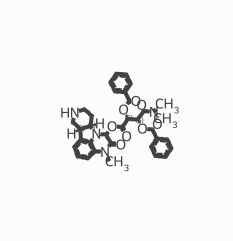 CN(C)C(=O)[C@@H](OC(=O)c1ccccc1)[C@H](OC(=O)c1ccccc1)C(=O)OC1C(=O)N(C)c2cccc3c2N1[C@H]1CCNC[C@@H]31